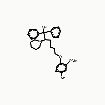 COc1cc(C(C)=O)ccc1OCCCCC(N1CCCCC1)C(C#N)(c1ccccc1)c1ccccc1